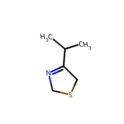 CC(C)C1=NCSC1